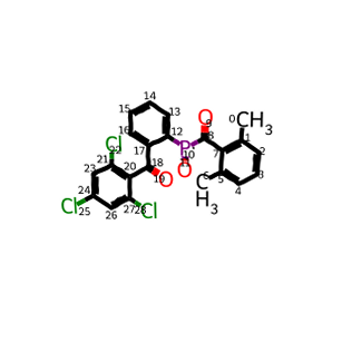 Cc1cccc(C)c1C(=O)[P](=O)c1ccccc1C(=O)c1c(Cl)cc(Cl)cc1Cl